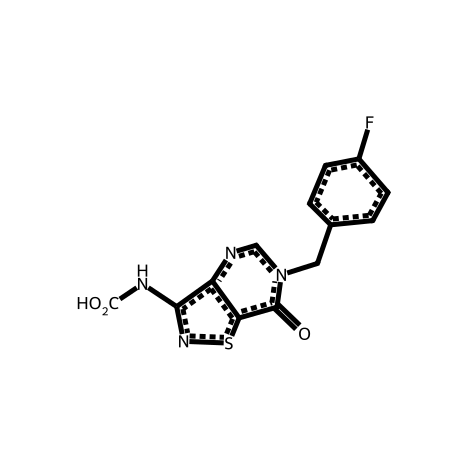 O=C(O)Nc1nsc2c(=O)n(Cc3ccc(F)cc3)cnc12